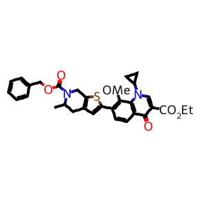 CCOC(=O)c1cn(C2CC2)c2c(OC)c(-c3cc4c(s3)CN(C(=O)OCc3ccccc3)C(C)C4)ccc2c1=O